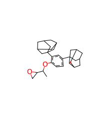 CC(Oc1ccc(C23CC4CC(CC(C4)C2)C3)cc1C12CC3CC(CC(C3)C1)C2)C1CO1